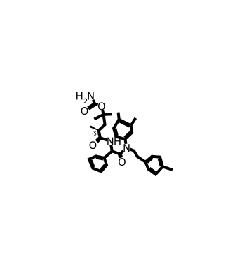 Cc1ccc(CCN(C(=O)C(NC(=O)[C@@H](C)CC(C)(C)OC(N)=O)c2ccccc2)c2ccc(C)c(C)c2)cc1